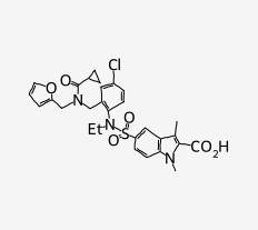 CCN(c1ccc(Cl)cc1CN(Cc1ccco1)C(=O)C1CC1)S(=O)(=O)c1ccc2c(c1)c(C)c(C(=O)O)n2C